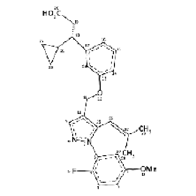 COc1ccc(F)c(-n2ncc(COc3cccc([C@@H](CC(=O)O)C4CC4)c3)c2C=C(C)C)c1